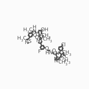 Cc1ncsc1-c1ccc([C@H](C)NC(=O)[C@@H]2C[C@@H](O)CN2C(=O)[C@H](C(C)C)n2cc(-c3cc(F)cc(OCCNC(=O)C[C@@H]4N=C(c5ccc(Cl)cc5)c5c(sc(C)c5C)-n5c(C)nnc54)c3)cn2)cc1